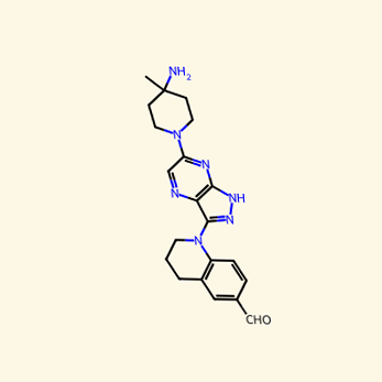 CC1(N)CCN(c2cnc3c(N4CCCc5cc(C=O)ccc54)n[nH]c3n2)CC1